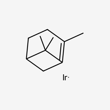 CC1=C2CC(CC1)C2(C)C.[Ir]